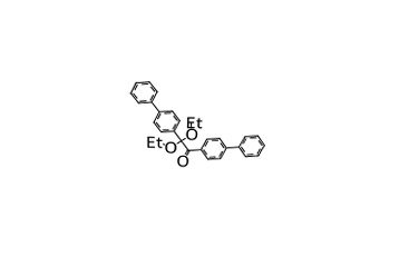 CCOC(OCC)(C(=O)c1ccc(-c2ccccc2)cc1)c1ccc(-c2ccccc2)cc1